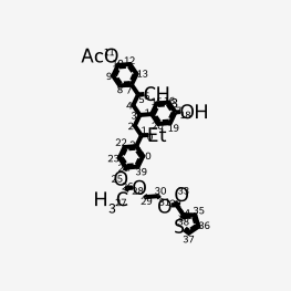 CCC(CC(CC(C)c1ccc(OC(C)=O)cc1)c1ccc(O)cc1)c1ccc(OC(C)OCCOC(=O)c2cccs2)cc1